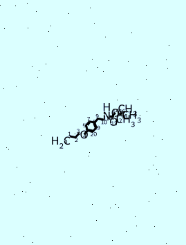 C=CCCOc1ccc(CCNC(=O)OC(C)(C)C)cc1